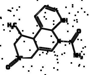 CC1C[N+](=O)CC2=CN(C(N)=O)C3NC=CC=C3C21